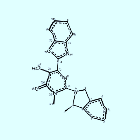 C[C@@H]1c2ccccc2CN1c1nc(-c2nc3ccccc3o2)c(O)c(=O)n1C